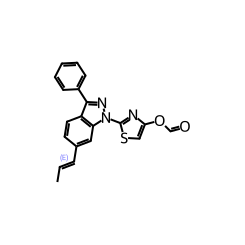 C/C=C/c1ccc2c(-c3ccccc3)nn(-c3nc(OC=O)cs3)c2c1